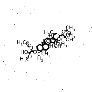 COCO[C@@H](O[C@H]1CCC23C[C@]24CC[C@]2(C)[C@@H]5[C@H](O[C@@H]([C@H](OC(C)=O)C(C)(C)O)C[C@H]5C)[C@H](O)[C@@]2(C)[C@@H]4CC[C@H]3C1(C)C)[C@H](O)OC